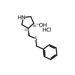 Cl.O[C@H]1CNC[C@@H]1CSCc1ccccc1